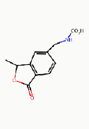 CC1OC(=O)c2ccc(CNC(=O)O)cc21